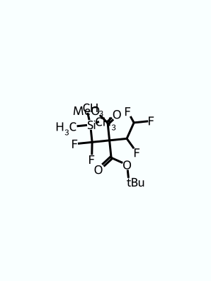 COC(=O)C(C(=O)OC(C)(C)C)(C(F)C(F)F)C(F)(F)[Si](C)(C)C